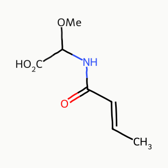 CC=CC(=O)NC(OC)C(=O)O